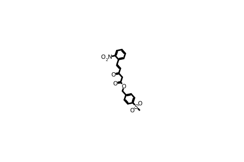 CS(=O)(=O)c1ccc(COC(=O)CC(=O)C=Cc2ccccc2[N+](=O)[O-])cc1